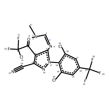 CN(C)/C=N\c1c(C(=O)C(F)(F)Cl)c(C#N)nn1-c1c(Cl)cc(C(F)(F)F)cc1Cl